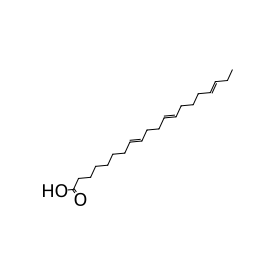 CCC=CCCCC=CCCC=CCCCCCCC(=O)O